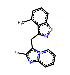 CCc1nc2ccccn2c1Cc1nsc2cccc(C)c12